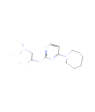 CC(CN(C)C)Nc1nccc(N2CCCCCC2)n1